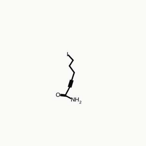 NC(=O)C#CCCCI